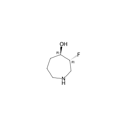 O[C@@H]1CCCNC[C@H]1F